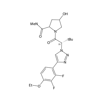 CCOc1ccc(-c2cn([C@H](C(=O)N3CC(O)CC3C(=O)NC)C(C)(C)C)nn2)c(F)c1F